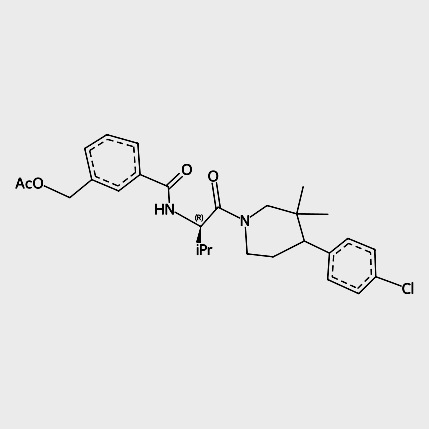 CC(=O)OCc1cccc(C(=O)N[C@@H](C(=O)N2CCC(c3ccc(Cl)cc3)C(C)(C)C2)C(C)C)c1